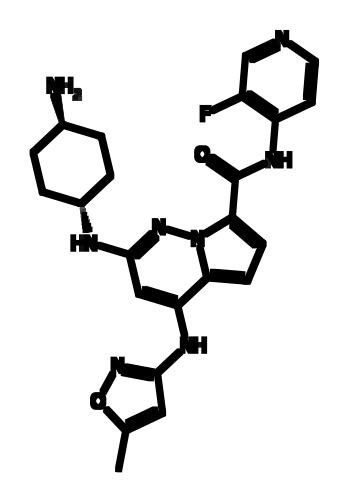 Cc1cc(Nc2cc(N[C@H]3CC[C@H](N)CC3)nn3c(C(=O)Nc4ccncc4F)ccc23)no1